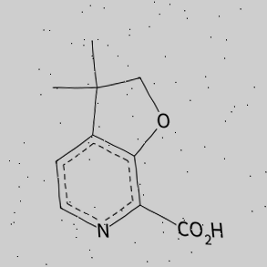 CC1(C)COc2c1ccnc2C(=O)O